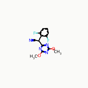 COc1nc(OC)nc(C(C#N)c2c(F)cccc2F)n1